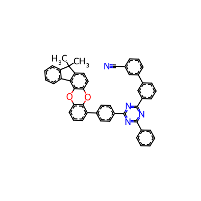 CC1(C)c2ccccc2-c2c1ccc1c2Oc2cccc(-c3ccc(-c4nc(-c5ccccc5)nc(-c5cccc(-c6cccc(C#N)c6)c5)n4)cc3)c2O1